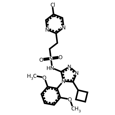 COc1cccc(OC)c1-n1c(NS(=O)(=O)CCc2ncc(Cl)cn2)nnc1C1CCC1